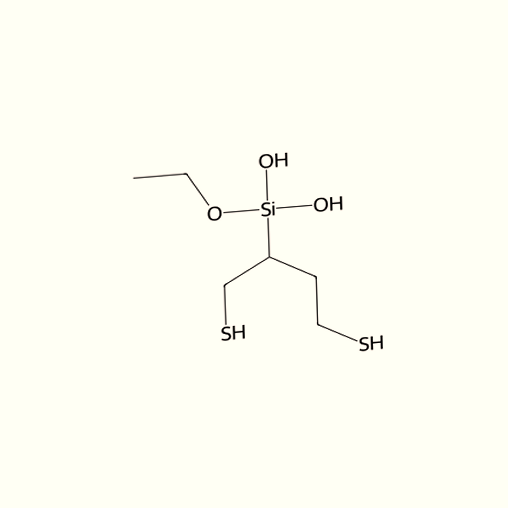 CCO[Si](O)(O)C(CS)CCS